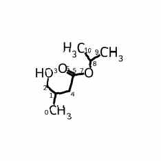 CC(CO)CC(=O)OC(C)C